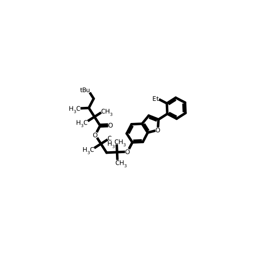 CCc1ccccc1-c1cc2ccc(OC(C)(C)CC(C)(C)OC(=O)C(C)(C)C(C)CC(C)(C)C)cc2o1